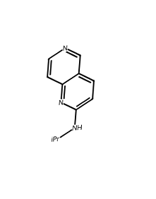 CC(C)Nc1ccc2cnccc2n1